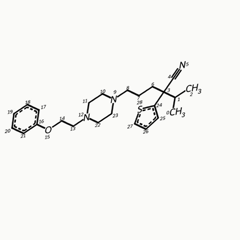 CC(C)C(C#N)(CCCN1CCN(CCOc2ccccc2)CC1)c1cccs1